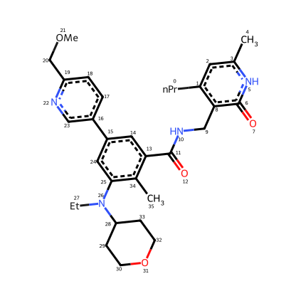 CCCc1cc(C)[nH]c(=O)c1CNC(=O)c1cc(-c2ccc(COC)nc2)cc(N(CC)C2CCOCC2)c1C